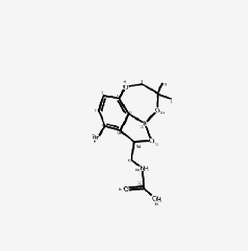 CC1(C)COc2ccc(Br)c3c2B(OC3CNC(=O)O)O1